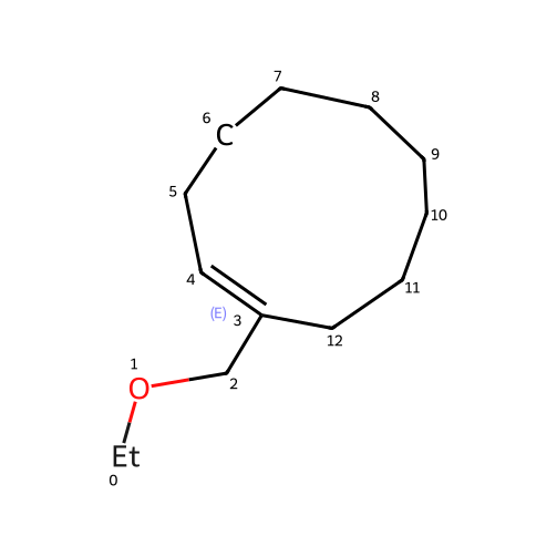 CCOC/C1=C/CCCCCCCC1